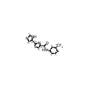 O=C(Nc1cccc(C(F)(F)F)c1)c1csc(-c2cnc[nH]2)n1